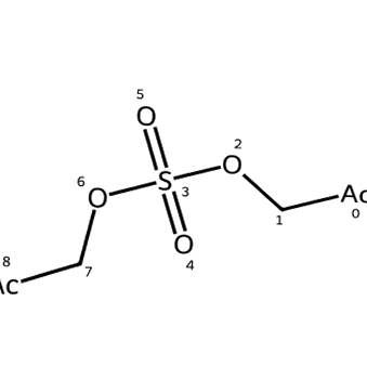 CC(=O)COS(=O)(=O)OCC(C)=O